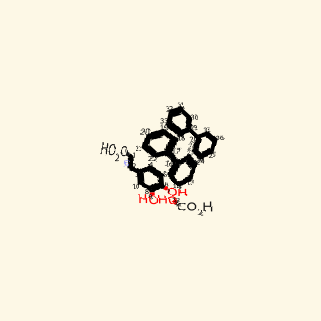 O=C(O)/C=C/c1ccc(O)c(O)c1.O=C(O)O.c1ccc(-c2ccccc2)cc1.c1ccc(-c2ccccc2)cc1